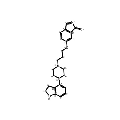 O=C1N=Cc2ccc(OCCCN3CCN(c4cccc5c4CCO5)CC3)cc21